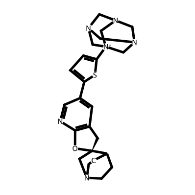 c1nc2c(cc1-c1ccc([N+]34CN5CN(CN(C5)C3)C4)s1)C[C@@]1(CN3CCC1CC3)O2